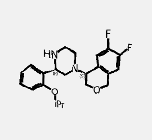 CC(C)Oc1ccccc1[C@@H]1CN([C@@H]2COCc3cc(F)c(F)cc32)CCN1